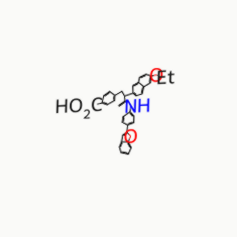 C=C(Nc1ccc(-c2cc3ccccc3o2)cc1)C(Cc1ccc(C(=O)O)cc1)c1ccc2cc(OCC)ccc2c1